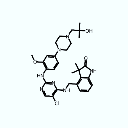 COc1cc(N2CCN(CC(C)(C)O)CC2)ccc1Nc1ncc(Cl)c(NCc2cccc3c2C(C)(C)C(=O)N3)n1